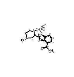 CN1CCN(C)C(c2nc3c(C(N)=O)cccc3[nH]2)C1.Cl.Cl